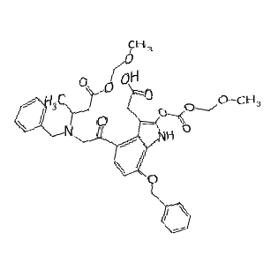 COCOC(=O)CC(C)N(CC(=O)c1ccc(OCc2ccccc2)c2[nH]c(OC(=O)OCOC)c(CC(=O)O)c12)Cc1ccccc1